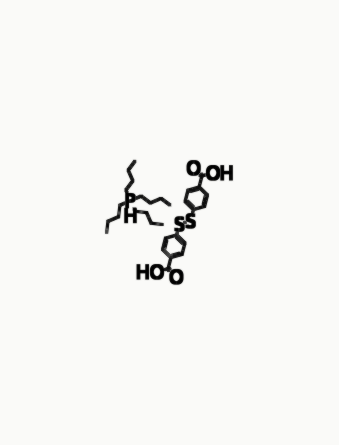 CCCC[PH](CCCC)(CCCC)CCCC.O=C(O)c1ccc(SSc2ccc(C(=O)O)cc2)cc1